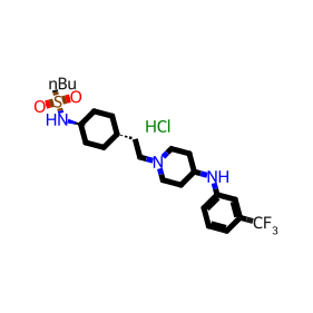 CCCCS(=O)(=O)N[C@H]1CC[C@H](CCN2CCC(Nc3cccc(C(F)(F)F)c3)CC2)CC1.Cl